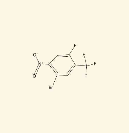 O=[N+]([O-])c1cc(F)c(C(F)(F)F)cc1Br